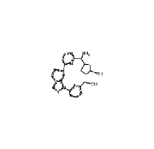 NC(c1cccc(-c2ccc3cnn(-c4cccc(CO)n4)c3c2)n1)C1CCC(O)C1